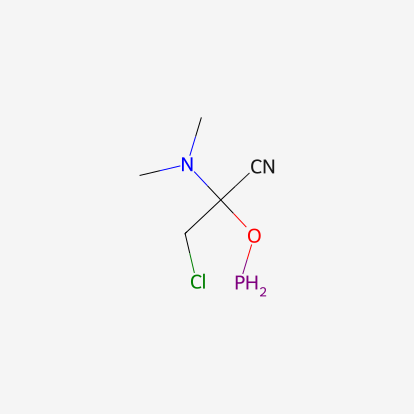 CN(C)C(C#N)(CCl)OP